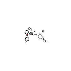 COc1ccc(-c2ccc(C3(NC(=O)c4ccc(F)cc4)CCOc4cccnc43)cc2)c(CO)c1